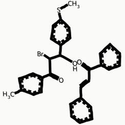 CSc1ccc(C(O)C(Br)C(=O)c2ccc(C)cc2)cc1.O=C(C=Cc1ccccc1)c1ccccc1